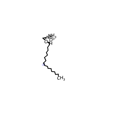 C1CC1.CCCCCCCC/C=C\CCCCCCCC(=O)O.N.N